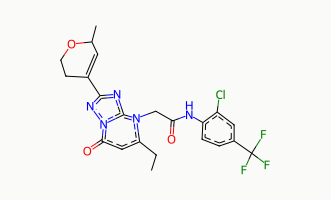 CCc1cc(=O)n2nc(C3=CC(C)OCC3)nc2n1CC(=O)Nc1ccc(C(F)(F)F)cc1Cl